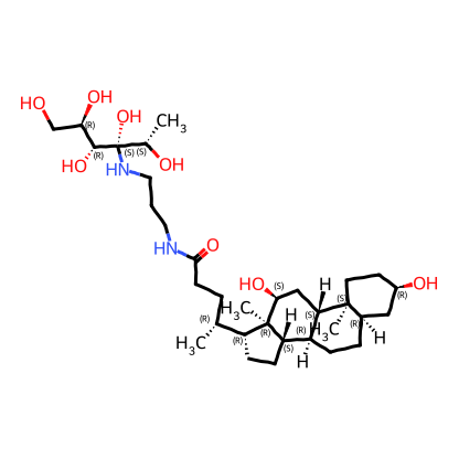 C[C@H](CCC(=O)NCCCN[C@](O)([C@H](C)O)[C@H](O)[C@H](O)CO)[C@H]1CC[C@H]2[C@@H]3CC[C@@H]4C[C@H](O)CC[C@]4(C)[C@H]3C[C@H](O)[C@]12C